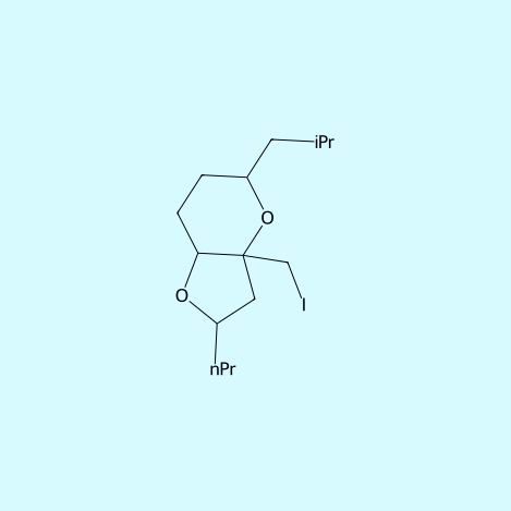 CCCC1CC2(CI)OC(CC(C)C)CCC2O1